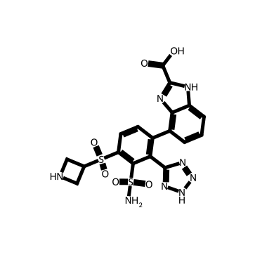 NS(=O)(=O)c1c(S(=O)(=O)C2CNC2)ccc(-c2cccc3[nH]c(C(=O)O)nc23)c1-c1nn[nH]n1